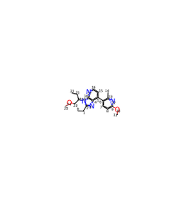 CCc1nc2c(-c3ccc(OC)nc3C)ccnc2n1C(CC)COC